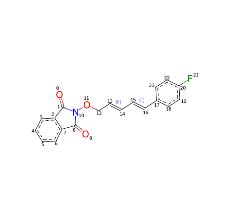 O=C1c2ccccc2C(=O)N1OC/C=C/C=C/c1ccc(F)cc1